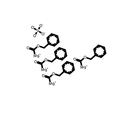 O=[C]([Mg+])OCc1ccccc1.O=[C]([Mg+])OCc1ccccc1.O=[C]([Mg+])OCc1ccccc1.O=[C]([Mg+])OCc1ccccc1.[O-][Si]([O-])([O-])[O-]